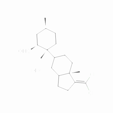 C[C@H]1CC[C@](C)(C2CC[C@]3(C)C(=C(Cl)Cl)CCC3[C@@H]2C=O)[C@@H](C=O)C1